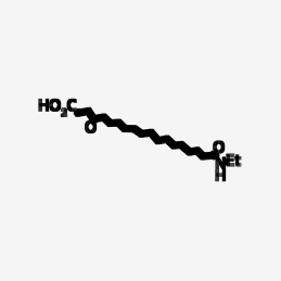 CCNC(=O)CCCCCCCCCCCCCCC(=O)CCC(=O)O